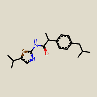 CC(C)Cc1ccc(C(C)C(=O)Nc2ncc(C(C)C)s2)cc1